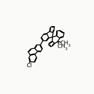 CC1(C)c2ccccc2C2(c3ccccc3-c3ccc(-c4ccc5c(ccc6cc(Cl)ccc65)c4)cc32)c2ccccc21